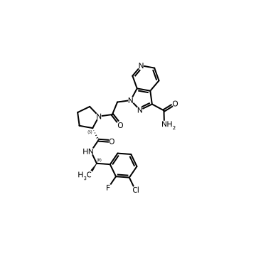 C[C@@H](NC(=O)[C@@H]1CCCN1C(=O)Cn1nc(C(N)=O)c2ccncc21)c1cccc(Cl)c1F